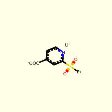 CCS(=O)(=O)c1cc(C(=O)[O-])ccn1.[Li+]